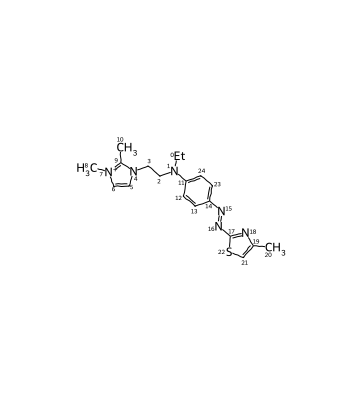 CCN(CCn1cc[n+](C)c1C)c1ccc(N=Nc2nc(C)cs2)cc1